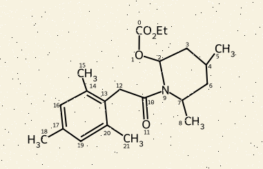 CCOC(=O)OC1CC(C)CC(C)N1C(=O)Cc1c(C)cc(C)cc1C